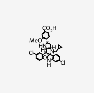 COc1cc(C(=O)O)ccc1[C@@H]1C[C@H]2[C@@H](N1)[C@H](c1cccc(Cl)c1)[C@]1(C(=O)Nc3cc(Cl)ccc31)N2CC1CC1